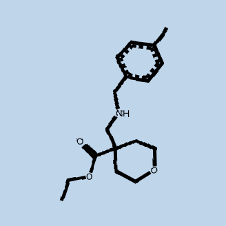 CCOC(=O)C1(CNCc2ccc(C)cc2)CCOCC1